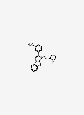 Cc1cccc(C2=CN3c4ccccc4SC3N2CCC2CCCN2)c1